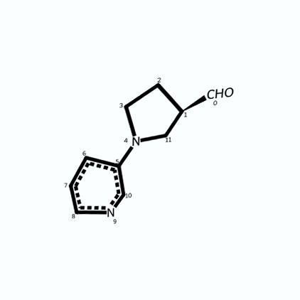 O=C[C@@H]1CCN(c2cccnc2)C1